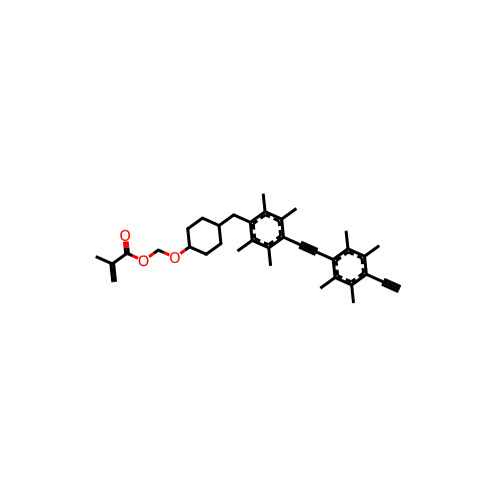 C#Cc1c(C)c(C)c(C#Cc2c(C)c(C)c(CC3CCC(OCOC(=O)C(=C)C)CC3)c(C)c2C)c(C)c1C